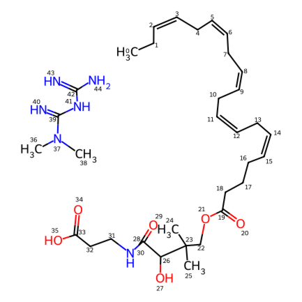 CC/C=C\C/C=C\C/C=C\C/C=C\C/C=C\CCCC(=O)OCC(C)(C)C(O)C(=O)NCCC(=O)O.CN(C)C(=N)NC(=N)N